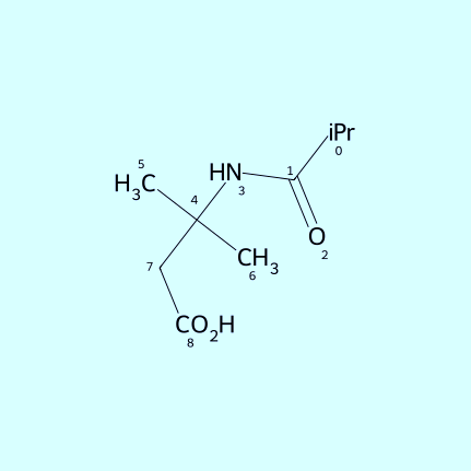 CC(C)C(=O)NC(C)(C)CC(=O)O